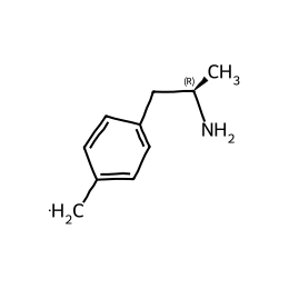 [CH2]c1ccc(C[C@@H](C)N)cc1